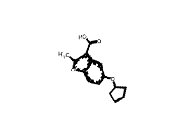 Cc1oc2ccc(OC3CCCC3)cc2c1C(=O)O